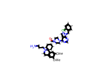 COc1cc2c(cc1OC)[C@]1(CC[C@@H](C(=O)N3CCN(c4ncnc5c4cnn5Cc4ccccc4Cl)CC3)CC1)N(CCCN)CC2